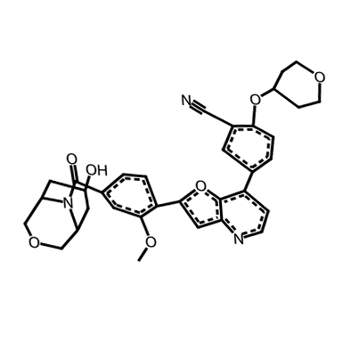 COc1cc(C(=O)N2C3COCC2CC(O)C3)ccc1-c1cc2nccc(-c3ccc(OC4CCOCC4)c(C#N)c3)c2o1